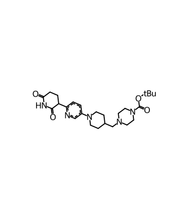 CC(C)(C)OC(=O)N1CCN(CC2CCN(c3ccc(C4CCC(=O)NC4=O)nc3)CC2)CC1